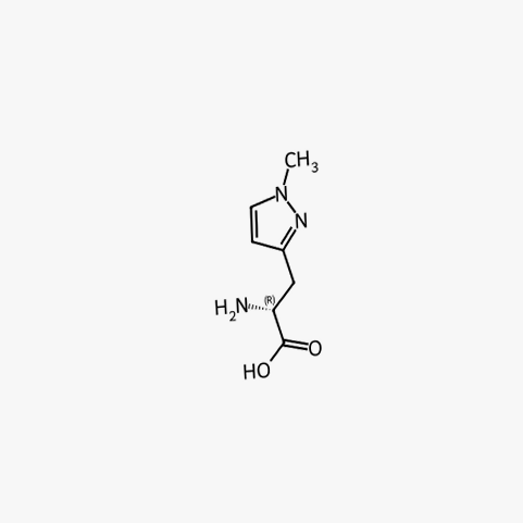 Cn1ccc(C[C@@H](N)C(=O)O)n1